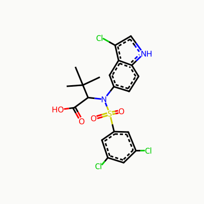 CC(C)(C)C(C(=O)O)N(c1ccc2[nH]cc(Cl)c2c1)S(=O)(=O)c1cc(Cl)cc(Cl)c1